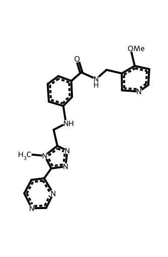 COc1ccncc1CNC(=O)c1cccc(NCc2nnc(-c3ccncn3)n2C)c1